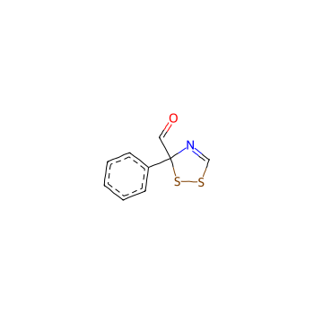 O=CC1(c2ccccc2)N=CSS1